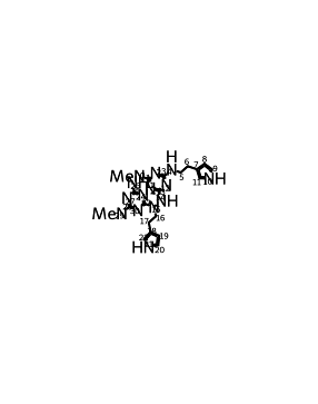 CNc1nc(NCCc2cc[nH]c2)nc(NN(CCc2cc[nH]c2)c2nc(N)nc(NC)n2)n1